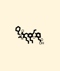 CCCCc1nc(C)n(CC2CCCCC2)c(=O)c1Cc1cc(CCC)c(Oc2c(C)cccc2CC(=O)O)c(CCC)c1